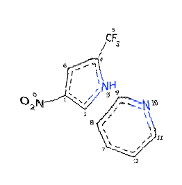 O=[N+]([O-])c1c[nH]c(C(F)(F)F)c1.c1ccncc1